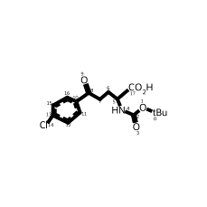 CC(C)(C)OC(=O)NC(CCC(=O)c1ccc(Cl)cc1)C(=O)O